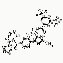 Cc1nc([C@H](C)NC(=O)c2cc(C(F)(F)F)cc(C(F)(F)F)c2)n(-c2ccc(C(=O)N3CCOCC3c3ncno3)cn2)n1